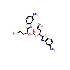 C=CCC(OC(=O)OC(CC=C)c1nc2cc(N)ccc2s1)c1nc2cc(N)ccc2s1